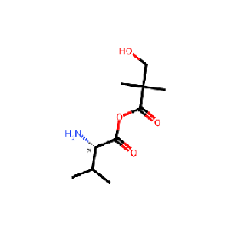 CC(C)[C@H](N)C(=O)OC(=O)C(C)(C)CO